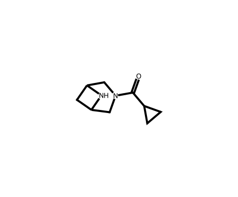 O=C(C1CC1)N1CC2CC(C1)N2